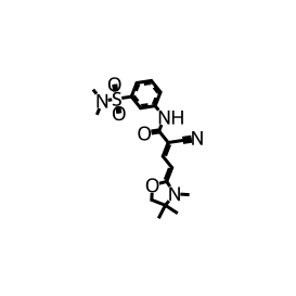 CN1C(=CC=C(C#N)C(=O)Nc2cccc(S(=O)(=O)N(C)C)c2)OCC1(C)C